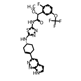 CO[C@H](C(=O)Nc1nnc(N[C@H]2CC=C(c3cc4cc[nH]c4nn3)CC2)s1)c1cc(OC(F)(F)F)ccc1F